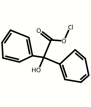 O=C(OCl)C(O)(c1ccccc1)c1ccccc1